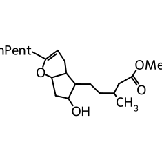 CCCCCC1=CCC2C(CC(O)C2CCC(C)CC(=O)OC)O1